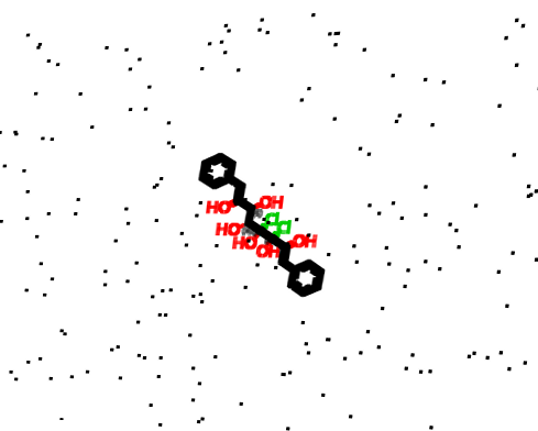 OC(=Cc1ccccc1)[C@@H](O)[C@@H](O)[C@@](O)(Cl)[C@](O)(Cl)C(O)=Cc1ccccc1